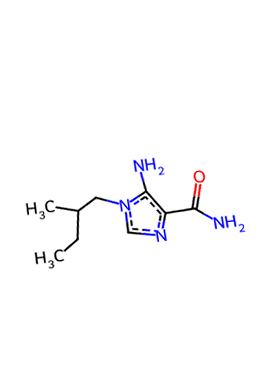 CCC(C)Cn1cnc(C(N)=O)c1N